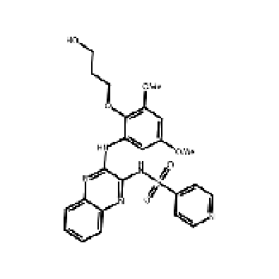 COc1cc(Nc2nc3ccccc3nc2NS(=O)(=O)c2ccncc2)c(OCCCO)c(OC)c1